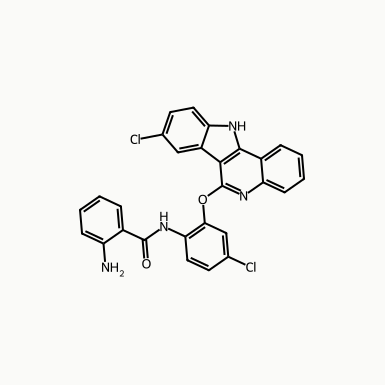 Nc1ccccc1C(=O)Nc1ccc(Cl)cc1Oc1nc2ccccc2c2[nH]c3ccc(Cl)cc3c12